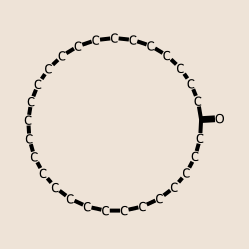 O=C1CCCCCCCCCCCCCCCCCCCCCCCCCCCC1